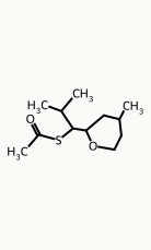 CC(=O)SC(C(C)C)C1CC(C)CCO1